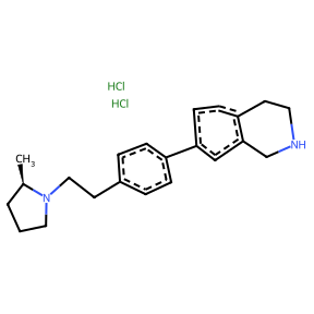 C[C@@H]1CCCN1CCc1ccc(-c2ccc3c(c2)CNCC3)cc1.Cl.Cl